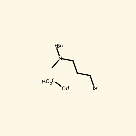 CN(CCCBr)C(C)(C)C.O=C(O)O